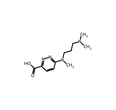 CN(C)CCCN(C)c1ccc(C(=O)O)nn1